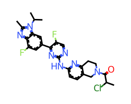 Cc1nc2c(F)cc(-c3nc(Nc4ccc5c(n4)CCN(C(=O)C(C)Cl)C5)ncc3F)cc2n1C(C)C